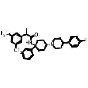 CC(C(=O)N[C@]1(c2ccccc2)CC[C@@H](N2CCC(c3ccc(F)cc3)CC2)CC1)c1cc(C(F)(F)F)cc(C(F)(F)F)c1